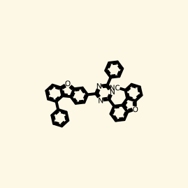 N#Cc1cccc2oc3cccc(-c4nc(-c5ccccc5)nc(-c5ccc6c(c5)oc5cccc(-c7ccccc7)c56)n4)c3c12